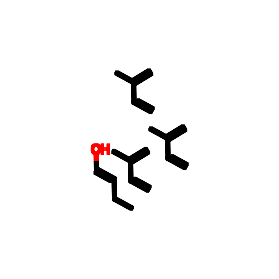 C=CC(=C)C.C=CC(=C)C.C=CC(=C)C.CCC=CO